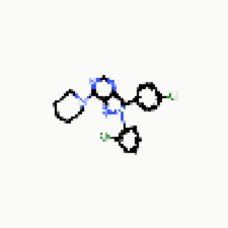 Clc1ccc(-c2c3ncnc(N4CCCCC4)c3nn2-c2ccccc2Cl)cc1